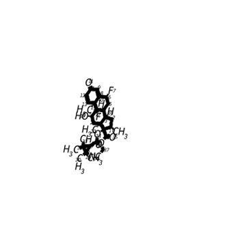 C[C@@H]1C[C@H]2[C@@H]3C[C@H](F)C4=CC(=O)C=C[C@]4(C)C3(F)[C@@H](O)C[C@]2(C)[C@@]1(OC(=O)C1C(C)(C)C1(C)C)C(=O)OCC#N